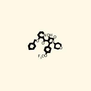 O=C(C1=C(O)C(=O)N(C2CCOCC2)C1c1ccc(OC(F)(F)F)cc1)c1ncccc1OCc1ccccc1